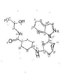 CC(O)CNC(=O)C1CCC(Nc2nccc(-n3ncc4ccccc43)n2)CC1